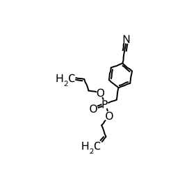 C=CCOP(=O)(Cc1ccc(C#N)cc1)OCC=C